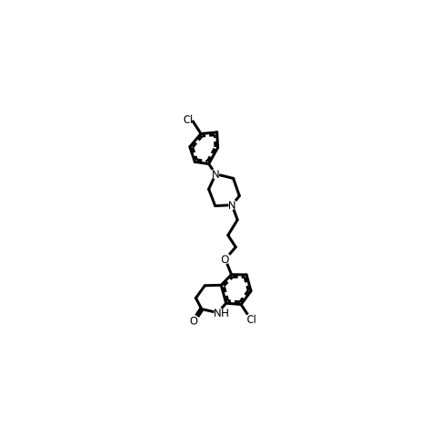 O=C1CCc2c(OCCCN3CCN(c4ccc(Cl)cc4)CC3)ccc(Cl)c2N1